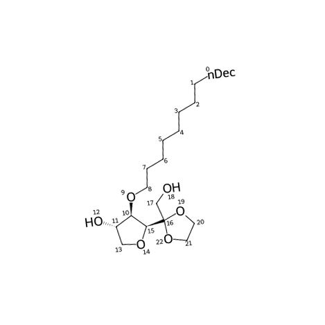 CCCCCCCCCCCCCCCCCCO[C@@H]1[C@@H](O)CO[C@@H]1C1(CO)OCCO1